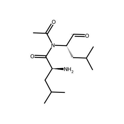 CC(=O)N(C(=O)[C@@H](N)CC(C)C)[C@H]([C]=O)CC(C)C